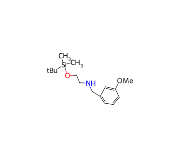 COc1cccc(CNCCO[Si](C)(C)C(C)(C)C)c1